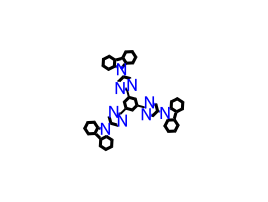 c1ccc2c(c1)c1ccccc1n2-c1cnc(-c2cc(-c3ncc(-n4c5ccccc5c5ccccc54)cn3)cc(-c3ncc(-n4c5ccccc5c5ccccc54)cn3)c2)nc1